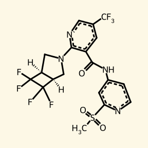 CS(=O)(=O)c1cc(NC(=O)c2cc(C(F)(F)F)cnc2N2C[C@@H]3[C@H](C2)C(F)(F)C3(F)F)ccn1